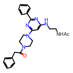 CC(=O)NCCNc1cc(N2CCN(C(=O)Cc3ccccc3)CC2)nc(-c2ccccc2)n1